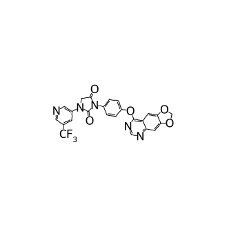 O=C1CN(c2cncc(C(F)(F)F)c2)C(=O)N1c1ccc(Oc2ncnc3cc4c(cc23)OCO4)cc1